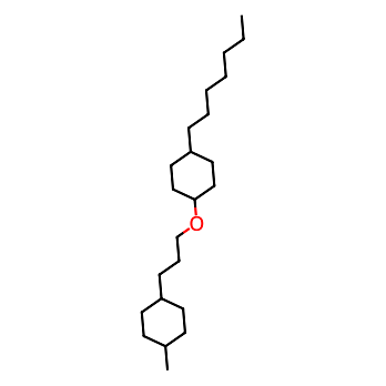 CCCCCCCC1CCC(OCCCC2CCC(C)CC2)CC1